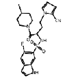 CC1CCN(C(=O)C(CCn2cccc2C#N)NS(=O)(=O)c2cc3[nH]ccc3cc2F)CC1